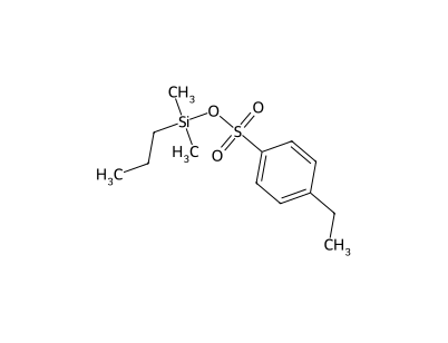 CCC[Si](C)(C)OS(=O)(=O)c1ccc(CC)cc1